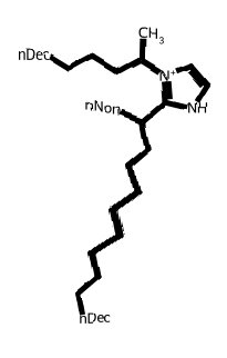 CCCCCCCCCCCCCCCCCCC(CCCCCCCCC)c1[nH]cc[n+]1C(C)CCCCCCCCCCCCC